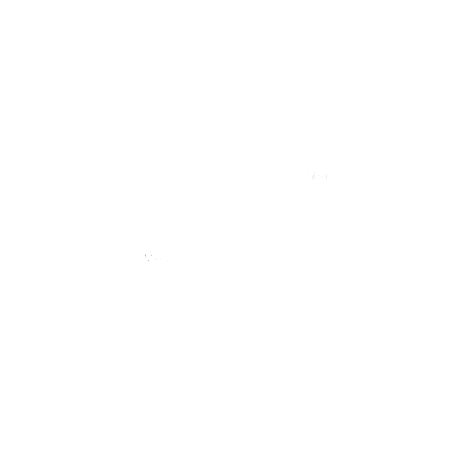 CCCCC(CC)Cc1ccc2cc(O)c(SC)cc2c1